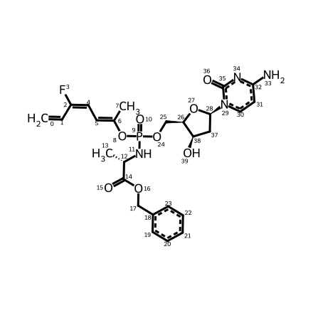 C=C/C(F)=C\C=C(/C)OP(=O)(N[C@@H](C)C(=O)OCc1ccccc1)OC[C@H]1O[C@@H](n2ccc(N)nc2=O)C[C@H]1O